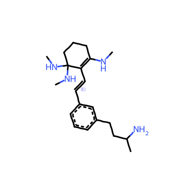 CNC1=C(/C=C/c2cccc(CCC(C)N)c2)C(NC)(NC)CCC1